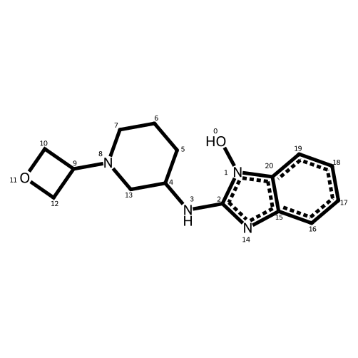 On1c(NC2CCCN(C3COC3)C2)nc2ccccc21